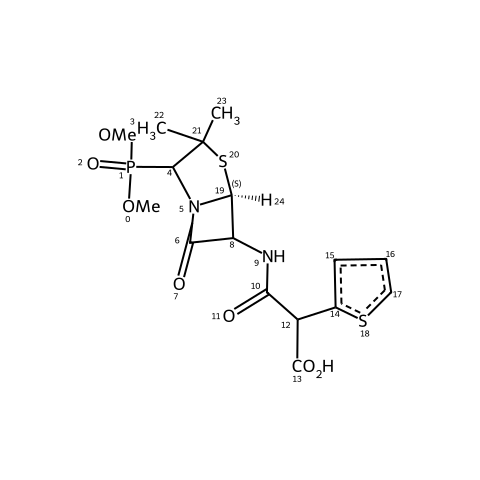 COP(=O)(OC)C1N2C(=O)C(NC(=O)C(C(=O)O)c3cccs3)[C@@H]2SC1(C)C